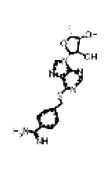 C[C@H]1O[C@@H](n2cnc3c(SCc4ccc(C(=N)N)cc4)ncnc32)[C@H](O)[C@@H]1O